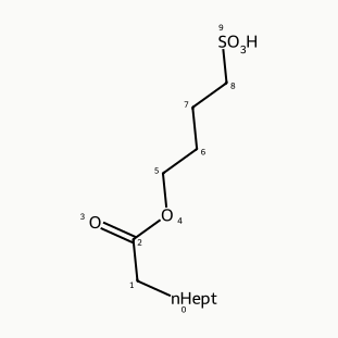 CCCCCCCCC(=O)OCCCCS(=O)(=O)O